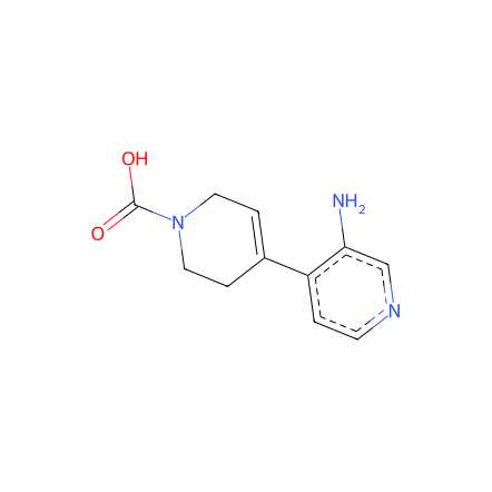 Nc1cnccc1C1=CCN(C(=O)O)CC1